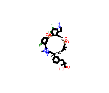 Cn1nc2nc1-c1cc(ccc1F)S(=O)(=O)c1c(F)c(F)c3[nH]ccc3c1CCS(=O)(=O)CC(C)(C)CCC[C@]2(C)c1cccc(CC(C)(C)C(=O)O)c1